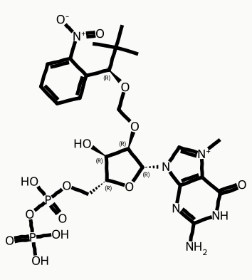 C[n+]1cn([C@@H]2O[C@H](COP(=O)(O)OP(=O)(O)O)[C@@H](O)[C@H]2OCO[C@@H](c2ccccc2[N+](=O)[O-])C(C)(C)C)c2nc(N)[nH]c(=O)c21